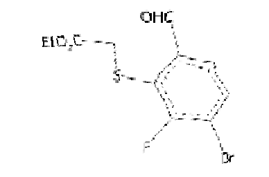 CCOC(=O)CSc1c(C=O)ccc(Br)c1F